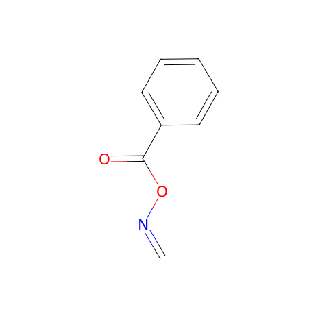 C=NOC(=O)c1ccccc1